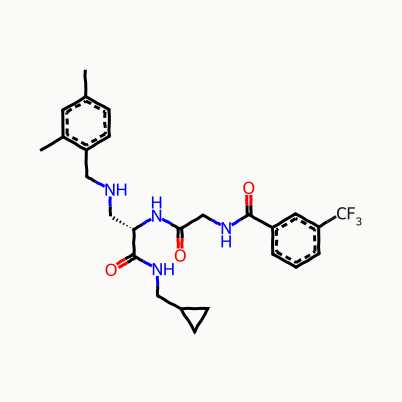 Cc1ccc(CNC[C@H](NC(=O)CNC(=O)c2cccc(C(F)(F)F)c2)C(=O)NCC2CC2)c(C)c1